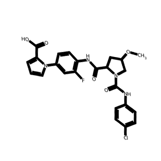 COC1CC(C(=O)Nc2ccc(-n3cccc3C(=O)O)cc2F)N(C(=O)Nc2ccc(Cl)cc2)C1